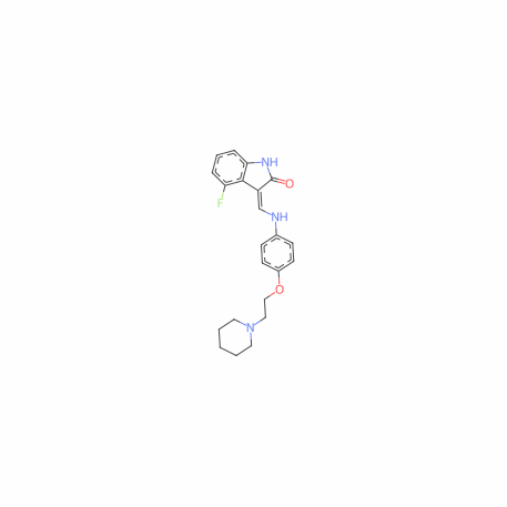 O=C1Nc2cccc(F)c2C1=CNc1ccc(OCCN2CCCCC2)cc1